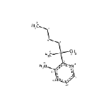 CCCCC(C)(C)c1nccnc1N